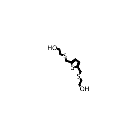 OCCSCc1ccc(CSCCO)s1